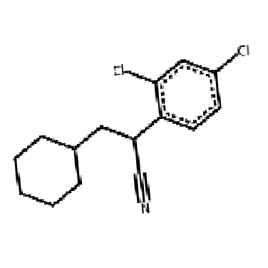 N#CC(CC1CCCCC1)c1ccc(Cl)cc1Cl